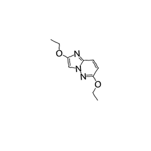 CCOc1cn2nc(OCC)ccc2n1